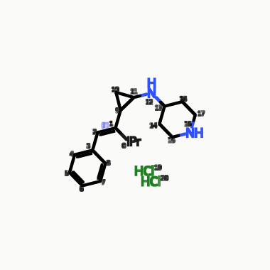 CC(C)/C(=C\c1ccccc1)C1CC1NC1CCNCC1.Cl.Cl